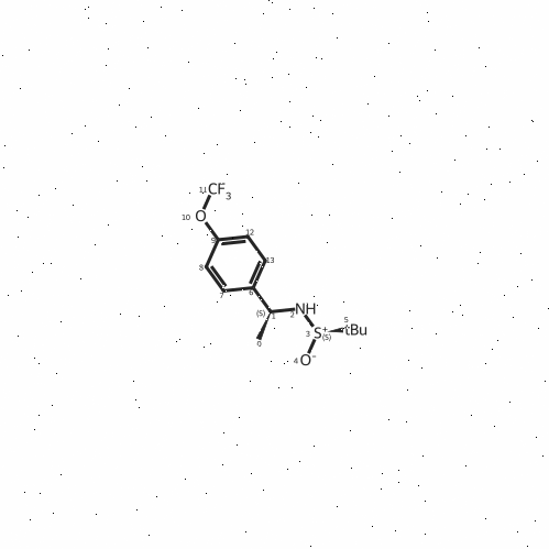 C[C@H](N[S@+]([O-])C(C)(C)C)c1ccc(OC(F)(F)F)cc1